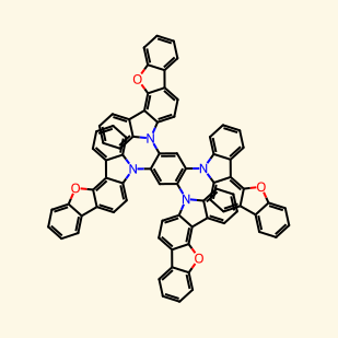 c1ccc2c(c1)oc1c2ccc2c1c1ccccc1n2-c1cc(-n2c3ccccc3c3c4oc5ccccc5c4ccc32)c(-n2c3ccccc3c3c4oc5ccccc5c4ccc32)cc1-n1c2ccccc2c2c3oc4ccccc4c3ccc21